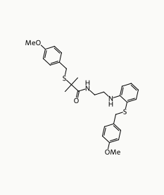 COc1ccc(CSc2ccccc2NCCNC(=O)C(C)(C)SCc2ccc(OC)cc2)cc1